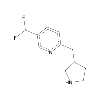 FC(F)c1ccc(CC2CCNC2)nc1